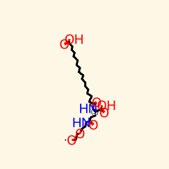 [O]CCOCCNC(=O)CC[C@H](NC(=O)CCCCCCCCCCCCCCCCC(=O)O)C(=O)O